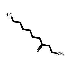 CC[CH]C(=S)CCCCCCC